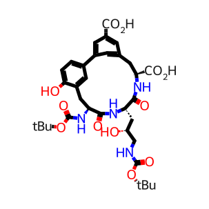 CC(C)(C)OC(=O)NC[C@H](O)C[C@@H]1NC(=O)[C@@H](NC(=O)OC(C)(C)C)Cc2cc(ccc2O)-c2cc(cc(C(=O)O)c2)C[C@@H](C(=O)O)NC1=O